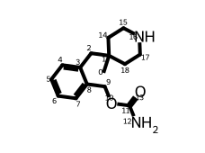 CC1(Cc2ccccc2COC(N)=O)CCNCC1